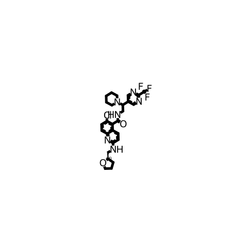 O=C(NCC(c1cnc(C(F)(F)F)nc1)N1CCCCC1)c1c(Cl)ccc2nc(NC[C@H]3CCCO3)ccc12